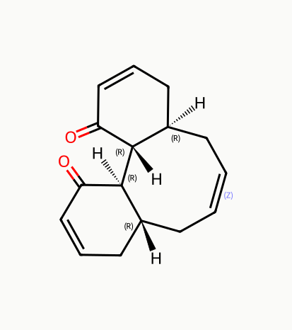 O=C1C=CC[C@H]2C/C=C\C[C@@H]3CC=CC(=O)[C@H]3[C@H]12